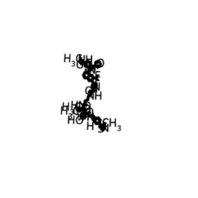 CNC(=O)N1CCc2c(c(N3CCCc4cc(-c5cnn(CC(=O)NCCCC(=O)N[C@H](C(=O)N6C[C@H](O)C[C@H]6C(=O)NCc6ccc(-c7scnc7C)cc6)C(C)(C)C)c5)c(C(F)F)cc43)nn2C2CCOCC2)C1